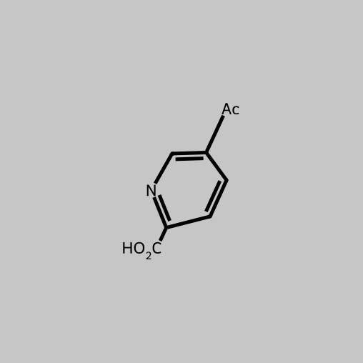 CC(=O)c1ccc(C(=O)O)nc1